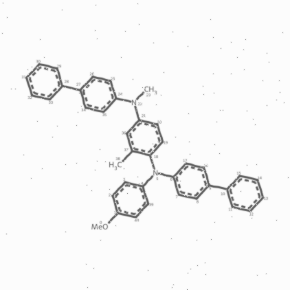 COc1ccc(N(c2ccc(-c3ccccc3)cc2)c2ccc(N(C)c3ccc(-c4ccccc4)cc3)cc2C)cc1